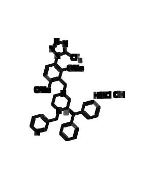 COc1ccc(-n2nnnc2C(F)(F)F)c(OC)c1CN1CCN(Cc2cccnc2)[C@H](C(c2ccccc2)c2ccccc2)C1.Cl.Cl.Cl